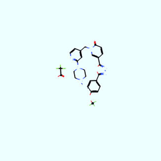 CN1CCN(c2cc(Cn3cc(-c4nnc(-c5ccc(OC(F)(F)F)cc5)o4)ccc3=O)ccn2)CC1.O=C(O)C(F)(F)F